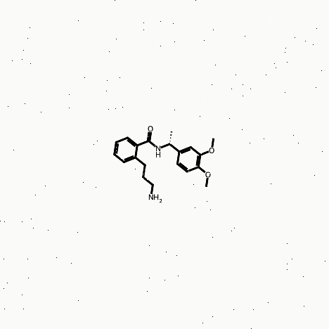 COc1ccc([C@@H](C)NC(=O)c2ccccc2CCCN)cc1OC